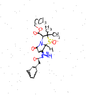 CC1(C)C(C(=O)OCC(Cl)(Cl)Cl)N2C(=O)C(NC(=O)Cc3ccccc3)[C@H]2[S+]1[O-]